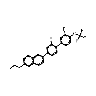 CCCc1ccc2cc(-c3ccc(-c4ccc(OC(F)(F)F)c(F)c4)c(F)c3)ccc2c1